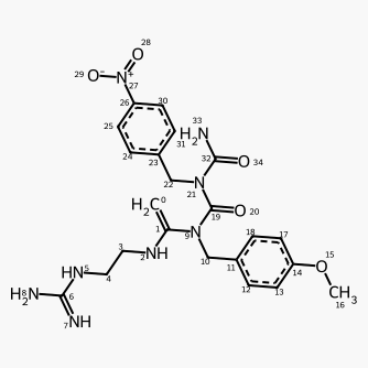 C=C(NCCNC(=N)N)N(Cc1ccc(OC)cc1)C(=O)N(Cc1ccc([N+](=O)[O-])cc1)C(N)=O